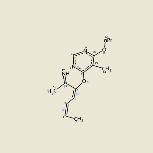 C/C=C\C=C(\Oc1ncnc(OCCC)c1C)C(C)=N